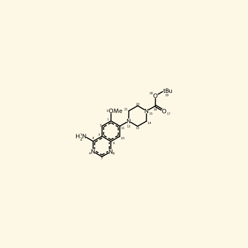 COc1cc2c(N)ncnc2cc1N1CCN(C(=O)OC(C)(C)C)CC1